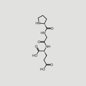 O=C(O)CC[C@H](NC(=O)CNC(=O)[C@@H]1CCCN1)C(=O)O